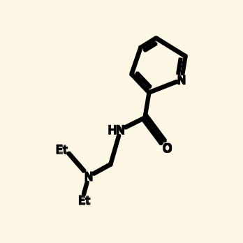 CCN(CC)CNC(=O)c1ccccn1